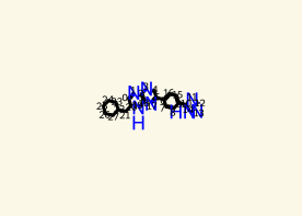 C1=Nc2ncc(-c3ccc(-c4ncn[nH]4)cc3)nc2NC1CC1CCCCC1